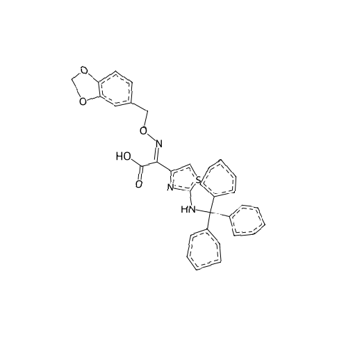 O=C(O)C(=NOCc1ccc2c(c1)OCO2)c1csc(NC(c2ccccc2)(c2ccccc2)c2ccccc2)n1